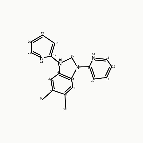 Cc1cc2c(cc1C)N(c1ccccn1)CN2c1ccccn1